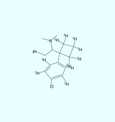 [2H]c1c([2H])c(C2(C(CC(C)C)N(C)C)C([2H])([2H])C([2H])([2H])C2([2H])[2H])c([2H])c([2H])c1Cl